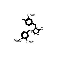 COc1cc(C[C@H]2C(=O)OC[C@@H]2Cc2ccc(OC)c(OC)c2)ccc1C